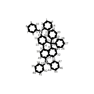 c1ccc(N(c2ccccc2)c2ccc3c(c2)C(c2ccccc2)(c2ccccc2)c2cccc4c(N(c5ccccc5)c5ccccc5)ccc-3c24)cc1